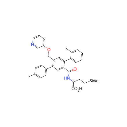 CSCC[C@H](NC(=O)c1cc(-c2ccc(C)cc2)c(COc2cccnc2)cc1-c1ccccc1C)C(=O)O